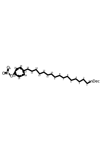 CCCCCCCCCCCCCCCCCCCCCCCCCCc1ccc(OP(=O)=O)cc1